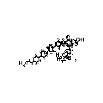 CCCC1CCC(C2CCN(c3cnc(-c4ccc(C[C@H](NC(=O)c5ccc(C(C)(C)C)s5)C(=O)NCC(=O)O)cc4)nc3)CC2)CC1